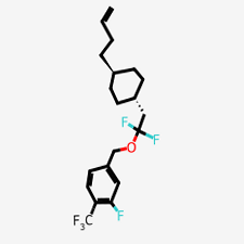 C=CCC[C@H]1CC[C@H](CC(F)(F)OCc2ccc(C(F)(F)F)c(F)c2)CC1